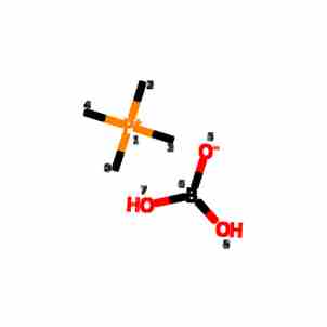 C[P+](C)(C)C.[O-]B(O)O